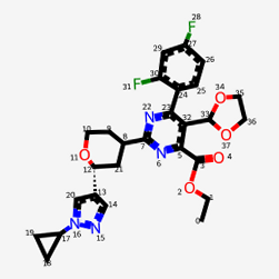 CCOC(=O)c1nc(C2CCO[C@@H](c3cnn(C4CC4)c3)C2)nc(-c2ccc(F)cc2F)c1C1OCCO1